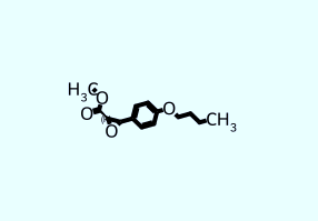 CCCCOc1ccc(C2O[C@H]2C(=O)OC)cc1